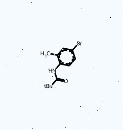 Cc1cc(Br)ccc1NC(=O)C(C)(C)C